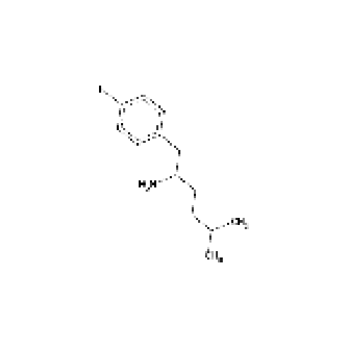 CC(C)CCC(N)Cc1ccc(F)cc1